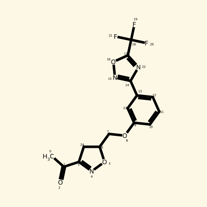 CC(=O)C1=NOC(COc2cccc(-c3noc(C(F)(F)F)n3)c2)C1